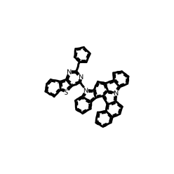 c1ccc(-c2nc(-n3c4ccccc4c4c5c6c7ccccc7ccc6n6c7ccccc7c(cc43)c56)c3sc4ccccc4c3n2)cc1